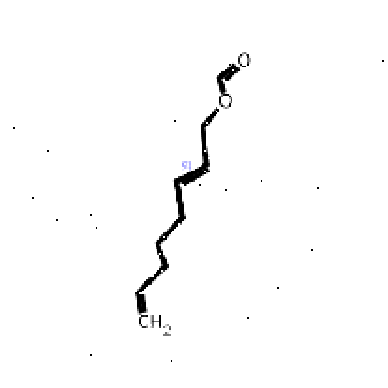 C=CCCC/C=C/COC=O